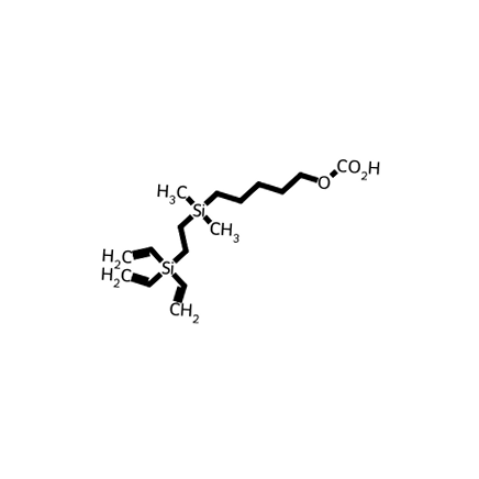 C=C[Si](C=C)(C=C)CC[Si](C)(C)CCCCCOC(=O)O